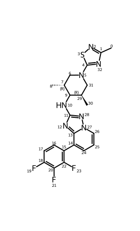 Cc1nsc(N2C[C@@H](C)C(Nc3nc4c(-c5ccc(F)c(F)c5F)cccn4n3)[C@H](C)C2)n1